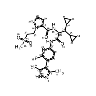 CCc1[nH]nc(C)c1-c1ccc(NC(=O)[C@@H](NC(=O)c2ccnn2CCS(C)(=O)=O)C(C2CC2)C2CC2)nc1F